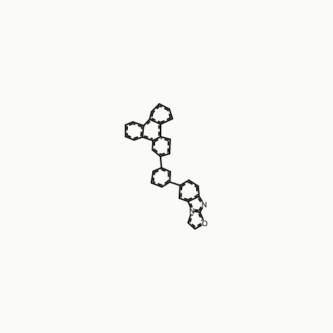 c1cc(-c2ccc3c4ccccc4c4ccccc4c3c2)cc(-c2ccc3nc4occn4c3c2)c1